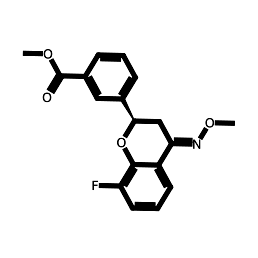 CON=C1C[C@H](c2cccc(C(=O)OC)c2)Oc2c(F)cccc21